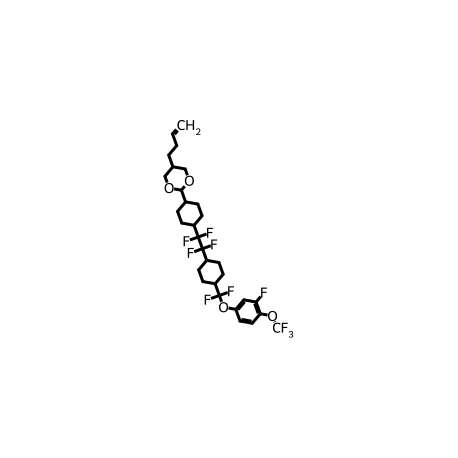 C=CCCC1COC(C2CCC(C(F)(F)C(F)(F)C3CCC(C(F)(F)Oc4ccc(OC(F)(F)F)c(F)c4)CC3)CC2)OC1